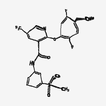 COc1cc(F)c(Oc2ncc(C(F)(F)F)cc2C(=O)Nc2cccc(S(C)(=O)=O)c2)cc1F